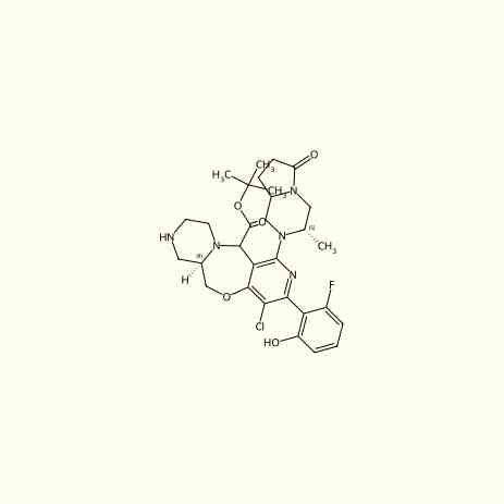 C[C@H]1CN2C(=O)CCC2CN1c1nc(-c2c(O)cccc2F)c(Cl)c2c1C(C(=O)OC(C)(C)C)N1CCNC[C@@H]1CO2